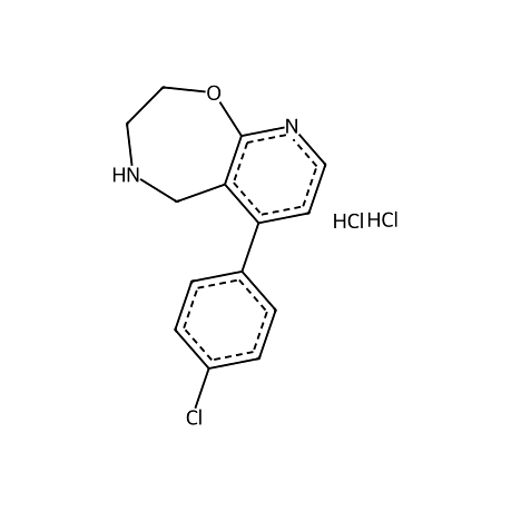 Cl.Cl.Clc1ccc(-c2ccnc3c2CNCCO3)cc1